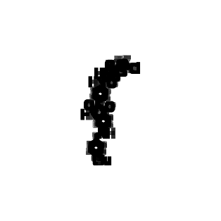 CC(C)(C)c1ccc(CNc2ccc3c(=O)n(-c4ccc(NC(=O)NS(=O)(=O)c5ccc(Cl)s5)cc4)c(=O)[nH]c3c2)cc1